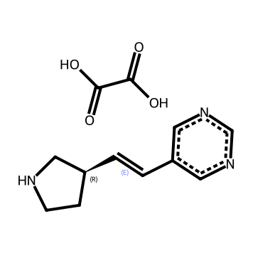 C(=C\[C@H]1CCNC1)/c1cncnc1.O=C(O)C(=O)O